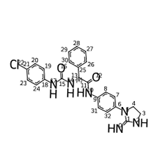 N=C1NCCN1c1ccc(NC(=O)[C@H](NC(=O)Nc2ccc(Cl)cc2)c2ccccc2)cc1